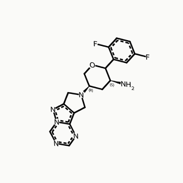 N[C@H]1C[C@@H](N2Cc3nn4cncnc4c3C2)COC1c1cc(F)ccc1F